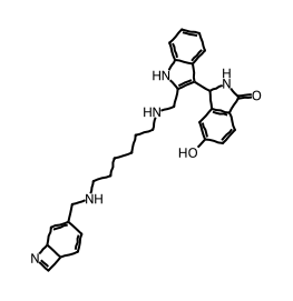 O=C1NC(c2c(CNCCCCCCNCC3=CC4N=CC4C=C3)[nH]c3ccccc23)c2cc(O)ccc21